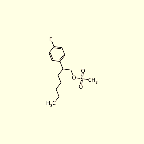 CCCCCC(COS(C)(=O)=O)c1ccc(F)cc1